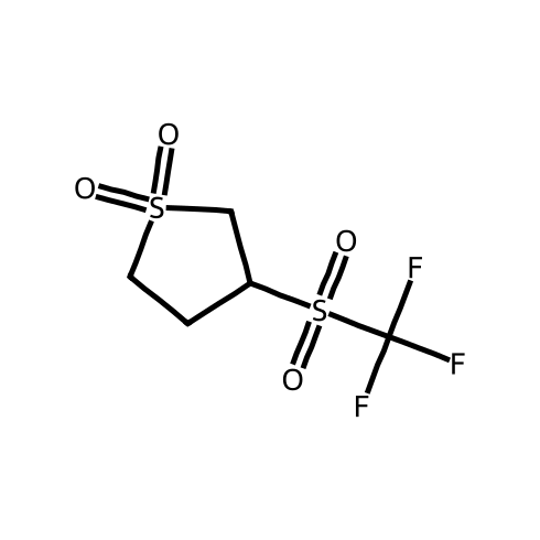 O=S1(=O)CCC(S(=O)(=O)C(F)(F)F)C1